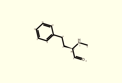 CN[C@@H](C=O)CCc1ccccc1